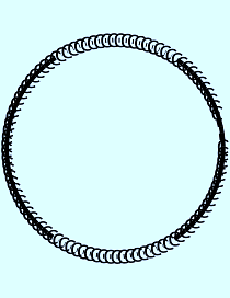 C1=CCCCCCCCCCCCCCCCCCCCCCCCCCCCCCCCCCCCCCCCCCCCCCCCCCCCCCCCCCCCCCCCCCCCCCCCCCCCCCCCCCCCCCCCCCCCCCCCCC=C1